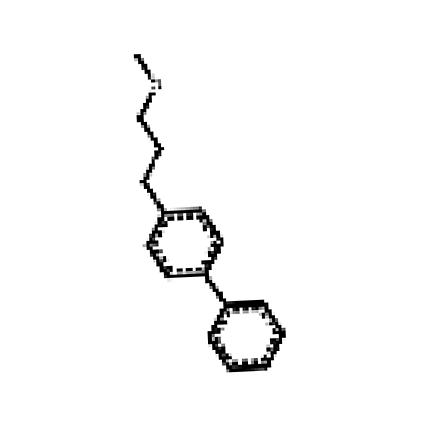 COCCCc1ccc(-c2ccccc2)cc1